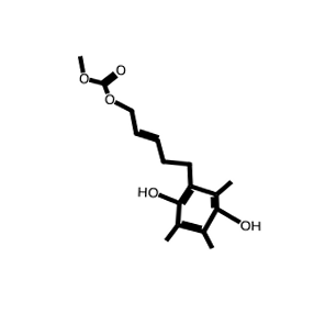 COC(=O)OC/C=C/CCc1c(C)c(O)c(C)c(C)c1O